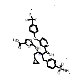 N=C(/C(Cc1ccc(S(N)(=O)=O)cc1)=C(/CC1CC1)Nc1nc(C(=O)O)cs1)c1cccc(Oc2ccc(C(F)(F)F)cc2)c1